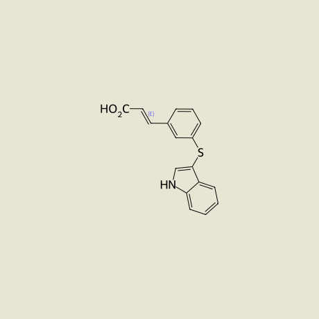 O=C(O)/C=C/c1cccc(Sc2c[nH]c3ccccc23)c1